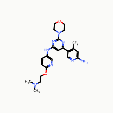 CN(C)CCOc1ccc(Nc2cc(-c3cnc(N)cc3C(F)(F)F)nc(N3CCOCC3)n2)cn1